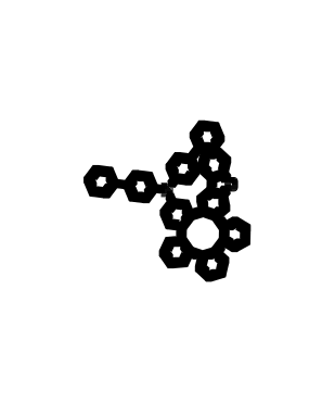 c1ccc(-c2ccc(N(c3ccc(-c4ccccc4)cc3)c3ccc4c5ccccc5c5ccccc5c5ccccc5c5cc6oc7ccccc7c6cc5c4c3)cc2)cc1